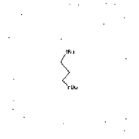 CCC[CH]CCCC(C)(C)C